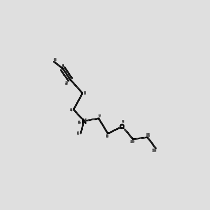 CC#CCCN(C)CCOCCC